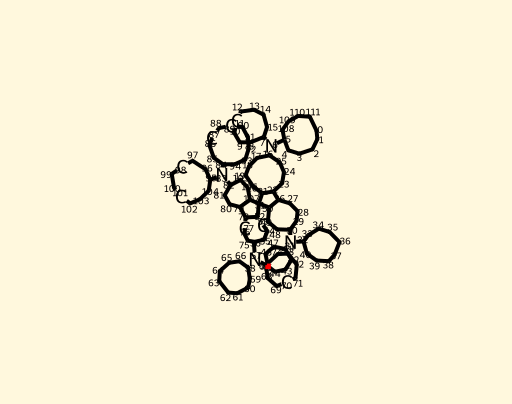 C1CCCCC(N(C2CCCCCCCC2)C2CCCCC3C(CCC2)C2CCCC(N(C4CCCCCCCC4)C4CCCCCC4)CCC2C32C3CCCC(N(C4CCCCCCCC4)C4CCCCCCC4)CCCC3C3CCC(N(C4CCCCCCCCCC4)C4CCCCCCCCC4)CCC32)CCCC1